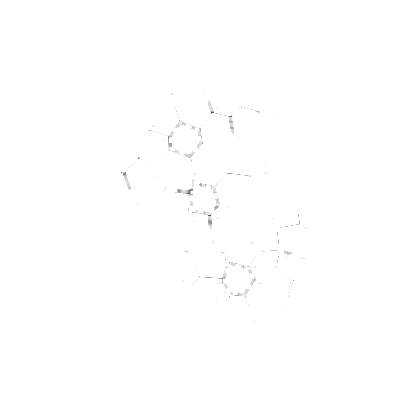 C=C(CC)C(=O)c1ccc(OCC(=O)O)c(Cl)c1Cl.CCCc1cc(=O)[nH]c(=S)[nH]1.CCOP(=S)(OCC)Oc1cc(C)nc(C(C)C)n1